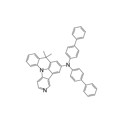 CC1(C)c2ccccc2-n2c3ccncc3c3cc(N(c4ccc(-c5ccccc5)cc4)c4ccc(-c5ccccc5)cc4)cc1c32